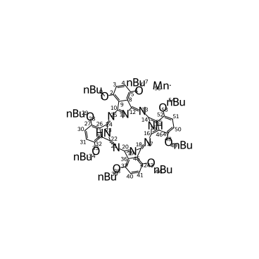 CCCCOc1ccc(OCCCC)c2c1-c1nc-2nc2[nH]c(nc3nc(nc4[nH]c(n1)c1c(OCCCC)ccc(OCCCC)c41)-c1c(OCCCC)ccc(OCCCC)c1-3)c1c(OCCCC)ccc(OCCCC)c21.[Mn]